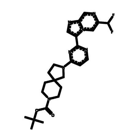 CC(C)(C)OC(=O)N1CCC2(CC1)CCN(c1ccnc(-c3cnc4cnc(C(F)F)cn34)n1)C2